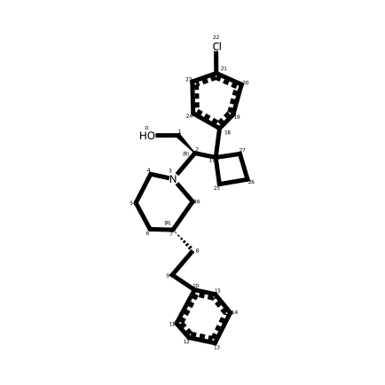 OC[C@H](N1CCC[C@@H](CCc2ccccc2)C1)C1(c2ccc(Cl)cc2)CCC1